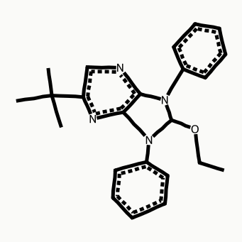 CCOC1N(c2ccccc2)c2ncc(C(C)(C)C)nc2N1c1ccccc1